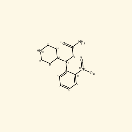 NC(=O)CN(c1ccccc1[N+](=O)[O-])C1CCNCC1